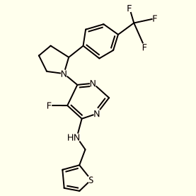 Fc1c(NCc2cccs2)ncnc1N1CCCC1c1ccc(C(F)(F)F)cc1